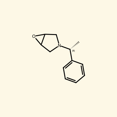 C[C@H](c1ccccc1)N1CC2OC2C1